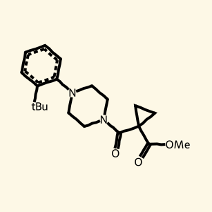 COC(=O)C1(C(=O)N2CCN(c3ccccc3C(C)(C)C)CC2)CC1